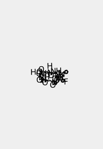 CC(C)C(NC(=O)CCCCCN1C(=O)C=CC1=O)C(=O)N[C@@H](C)C(=O)N[C@@H](CCCCNC(=O)[C@@H](N)CCN(C(=O)CO)[C@@H](c1cc(-c2cc(F)ccc2F)cn1Cc1ccccc1)C(C)(C)C)C(=O)O